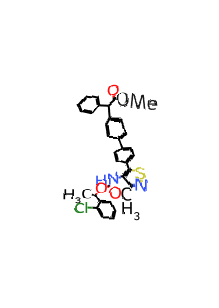 COC(=O)C(c1ccccc1)c1ccc(-c2ccc(-c3snc(C)c3NC(=O)O[C@H](C)c3ccccc3Cl)cc2)cc1